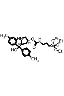 CCO[Si](CCCNC(=O)O[C@H]1CN[C@H](C(O)(c2ccc(C)cc2)c2ccc(C)cc2)C1)(OCC)OCC